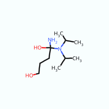 CC(C)N(C(C)C)C(N)(O)CCCO